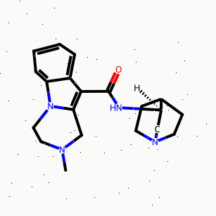 CN1CCn2c(c(C(=O)N[C@@H]3CN4CCC3CC4)c3ccccc32)C1